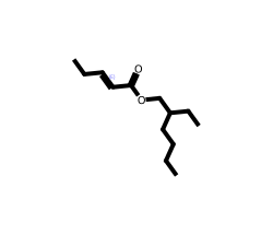 CC/C=C/C(=O)OCC(CC)CCCC